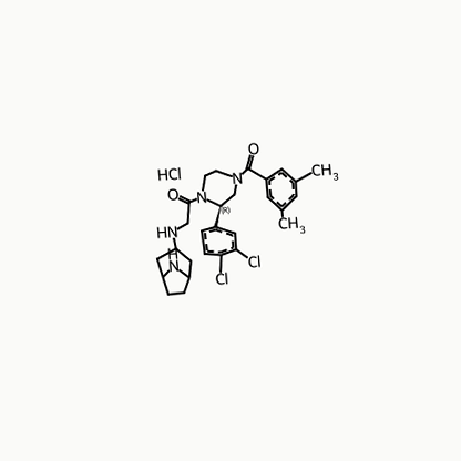 Cc1cc(C)cc(C(=O)N2CCN(C(=O)CNC3CC4CCC(C3)N4)[C@H](c3ccc(Cl)c(Cl)c3)C2)c1.Cl